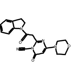 N#Cn1c(CC(=O)N2CCc3ccccc32)nc(N2CCOCC2)cc1=O